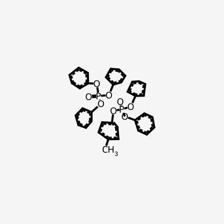 Cc1ccc(OP(=O)(Oc2ccccc2)Oc2ccccc2)cc1.O=P(Oc1ccccc1)(Oc1ccccc1)Oc1ccccc1